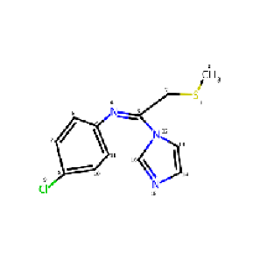 CSCC(=Nc1ccc(Cl)cc1)n1ccnc1